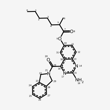 CCCCCC(C)C(=O)Oc1ccc2nc(N)nc(C(=O)N3Cc4ccccc4C3)c2c1